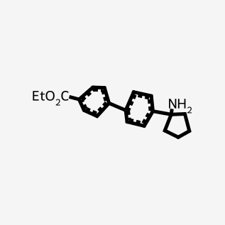 CCOC(=O)c1ccc(-c2ccc(C3(N)CCCC3)cc2)cc1